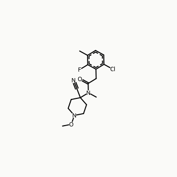 CON1CCC(C#N)(N(C)C(=O)Cc2c(Cl)ccc(C)c2F)CC1